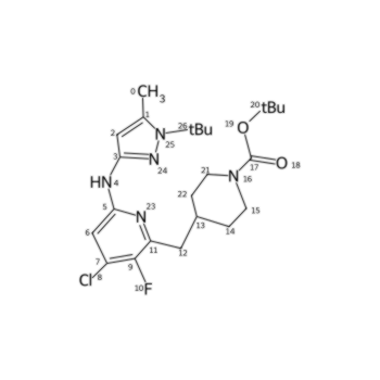 Cc1cc(Nc2cc(Cl)c(F)c(CC3CCN(C(=O)OC(C)(C)C)CC3)n2)nn1C(C)(C)C